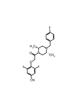 C[C@@H]1CN(C(=O)COc2c(I)cc(C#N)cc2I)[C@@H](C)CN1Cc1ccc(F)cc1